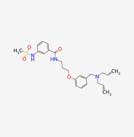 C=CCN(CC=C)Cc1cccc(OCCCNC(=O)c2cccc(NS(C)(=O)=O)c2)c1